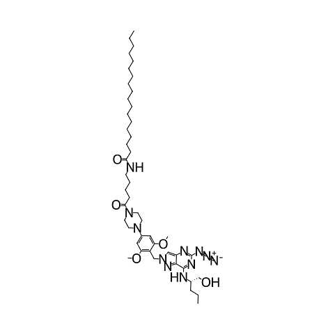 CCCCCCCCCCCCCCCCCC(=O)NCCCCC(=O)N1CCN(c2cc(OC)c(Cn3cc4nc(N=[N+]=[N-])nc(N[C@H](CO)CCC)c4n3)c(OC)c2)CC1